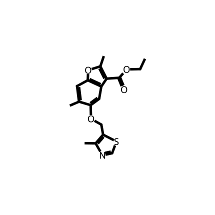 CCOC(=O)c1c(C)oc2cc(C)c(OCc3scnc3C)cc12